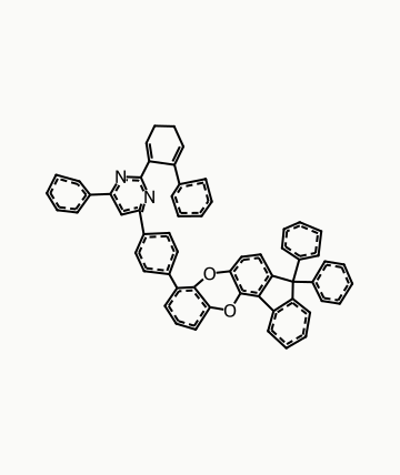 C1=C(c2ccccc2)C(c2nc(-c3ccccc3)cc(-c3ccc(-c4cccc5c4Oc4ccc6c(c4O5)-c4ccccc4C6(c4ccccc4)c4ccccc4)cc3)n2)=CCC1